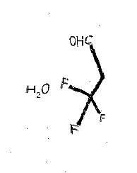 O.O=CCC(F)(F)F